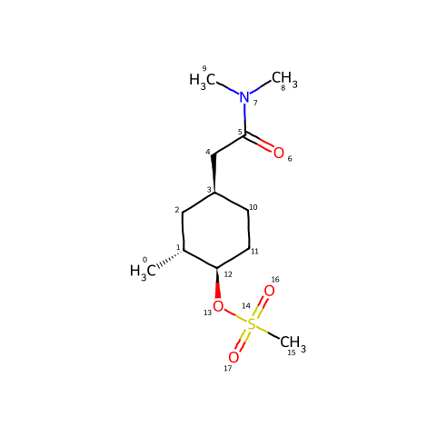 C[C@@H]1C[C@@H](CC(=O)N(C)C)CC[C@H]1OS(C)(=O)=O